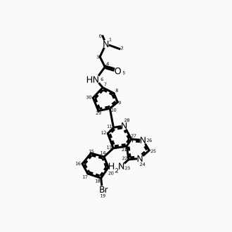 CN(C)CC(=O)Nc1ccc(-c2cc(-c3cccc(Br)c3)c3c(N)ncnc3n2)cc1